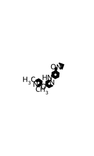 Cc1ccc(Oc2ccnc(Nc3cccc(C(=O)N4CCC4)c3)c2)c(C)n1